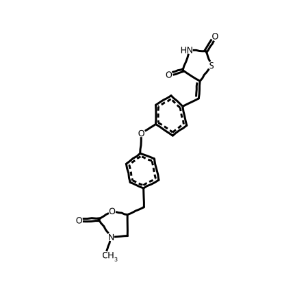 CN1CC(Cc2ccc(Oc3ccc(/C=C4/SC(=O)NC4=O)cc3)cc2)OC1=O